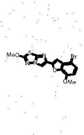 COc1nn2cc(-c3cc4c(Br)ccc(OC)c4o3)nc2s1